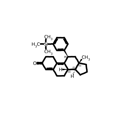 C[C@@]12CCC[C@H]1[C@@H]1CCC3=CC(=O)CCC3=C1[C@@H](c1cccc([Si](C)(C)C)c1)C2